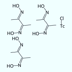 CC(=NO)C(C)=NO.CC(=NO)C(C)=NO.CC(=NO)C(C)=NO.[Cl][Tc]